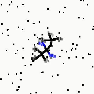 CC(C)(C)CC(N)(N)C(C)(C)C